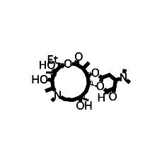 CC[C@H]1OC(=O)C(C)[C@@H](OC2CC(N(C)C)C3O[C@H]3O2)[C@H](C)C[C@](C)(O)CCN(C)C(C)C(O)[C@]1(C)O